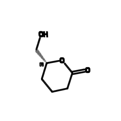 O=C1CCC[C@H](CO)O1